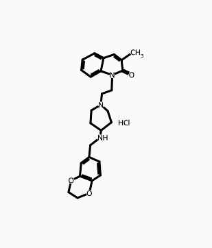 Cc1cc2ccccc2n(CCN2CCC(NCc3ccc4c(c3)OCCO4)CC2)c1=O.Cl